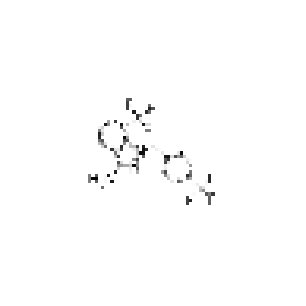 Nc1nn(Cc2ccc(C(F)(F)F)cc2)c2c(C(F)(F)F)cccc12